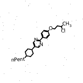 CCCCCC1CCC(c2cnc(-c3ccc(OCCC(C)Cl)cc3)nc2)CC1